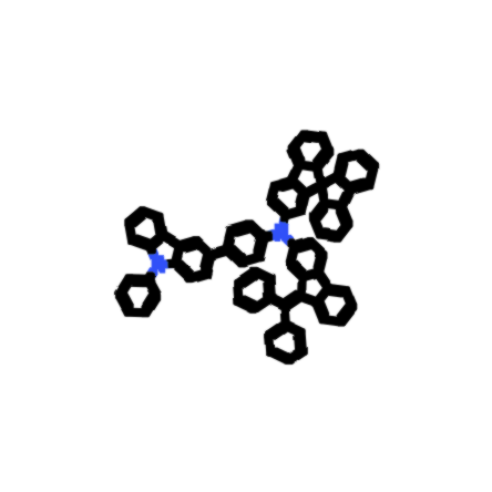 c1ccc(C(=C2c3ccccc3-c3ccc(N(c4ccc(-c5ccc6c(c5)c5ccccc5n6-c5ccccc5)cc4)c4ccc5c(c4)C4(c6ccccc6-c6ccccc64)c4ccccc4-5)cc32)c2ccccc2)cc1